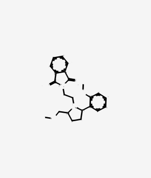 COCC1CCC(c2ccccc2OC)N1CCN1C(=O)c2ccccc2C1=O